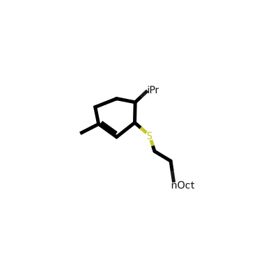 CCCCCCCCCCSC1C=C(C)CCC1C(C)C